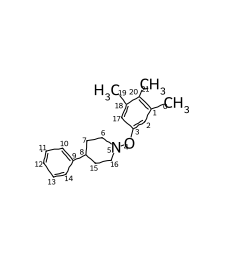 Cc1cc(ON2CCC(c3c[c]ccc3)CC2)cc(C)c1C